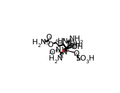 NC(=O)OC[C@H]1[C@@H]2N=C(N)N[C@]23N(C[C@H](OS(=O)(=O)O)C3(O)O)C(N)=[N+]1[O-]